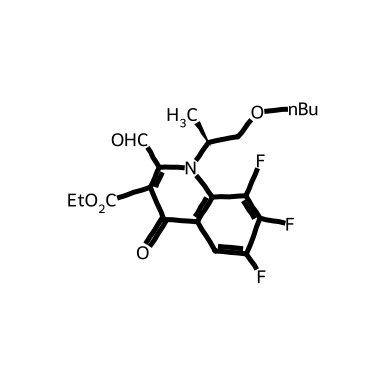 CCCCOC[C@H](C)n1c(C=O)c(C(=O)OCC)c(=O)c2cc(F)c(F)c(F)c21